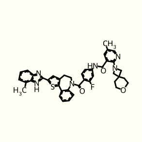 Cc1cnc(N2CC3(CCOCC3)C2)c(C(=O)Nc2ccc(C(=O)N3CCc4cc(-c5nc6cccc(C)c6[nH]5)sc4-c4ccccc43)c(F)c2)c1